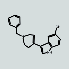 Oc1ccc2[nH]cc(C3=CCN(Cc4ccccc4)CC3)c2c1